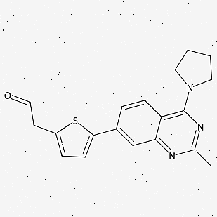 Cc1nc(N2CCCC2)c2ccc(-c3ccc(CC=O)s3)cc2n1